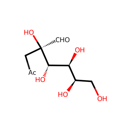 CC(=O)C[C@](O)(C=O)[C@@H](O)[C@@H](O)[C@H](O)CO